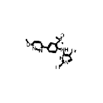 COc1ccc(-c2ccc(Nc3nc(Cl)ncc3Br)c(P(C)(C)=O)c2)nn1